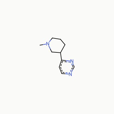 CN1CCCC(c2ccncn2)C1